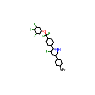 CCCC1CCC(C2CNC(C3CCC(C(F)(F)OC4CC(F)C(F)C(F)C4)CC3)C(F)C2)CC1